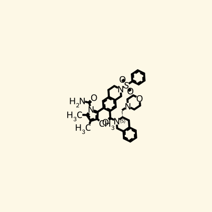 Cc1c(C)c(-c2cc3c(cc2C(=O)N2Cc4ccccc4C[C@H]2CN2CCOCC2)CN(S(=O)(=O)c2ccccc2)CC3)n(C(N)=O)c1C